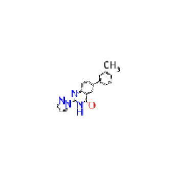 Cc1cccc(-c2ccc3nc(-n4cccn4)[nH]c(=O)c3c2)c1